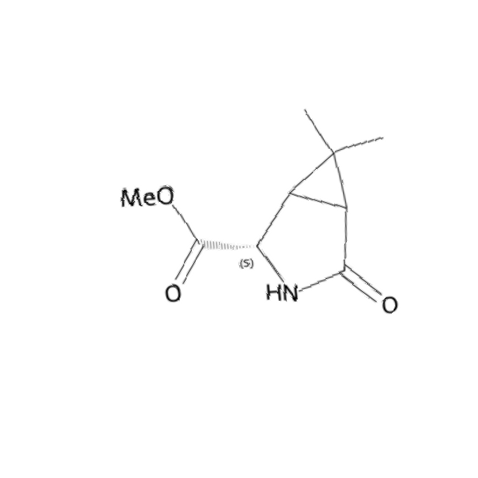 COC(=O)[C@H]1NC(=O)C2C1C2(C)C